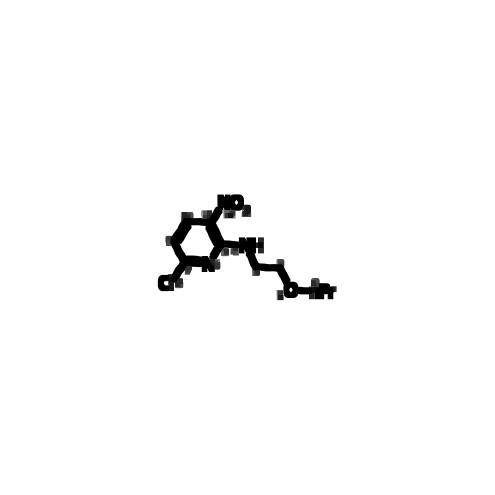 CCCOCCNc1nc(Cl)ccc1[N+](=O)[O-]